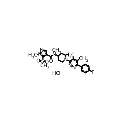 Cc1c(-c2ccc(F)cc2)nnc(N2CCC(N(C)C(=O)c3cnn(C)c3S(C)(=O)=O)CC2)c1C.Cl